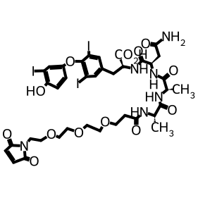 C[C@H](NC(=O)CCOCCOCCOCCN1C(=O)C=CC1=O)C(=O)N[C@@H](C)C(=O)N[C@H](CC(N)=O)C(=O)N[C@@H](Cc1cc(I)c(Oc2ccc(O)c(I)c2)c(I)c1)C(=O)O